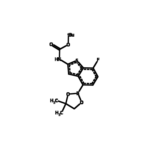 CC(C)(C)OC(=O)Nc1cc2c(B3OCC(C)(C)O3)ccc(F)c2s1